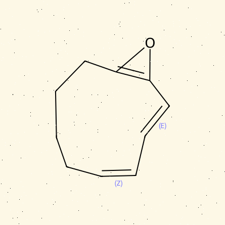 C1=C\CCCCC2=C(/C=C/1)O2